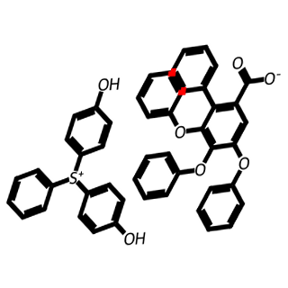 O=C([O-])c1cc(Oc2ccccc2)c(Oc2ccccc2)c(Oc2ccccc2)c1-c1ccccc1.Oc1ccc([S+](c2ccccc2)c2ccc(O)cc2)cc1